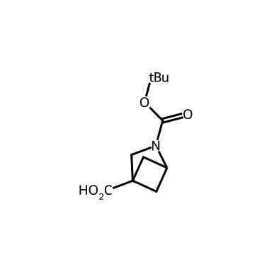 CC(C)(C)OC(=O)N1CC2(C(=O)O)CC1C2